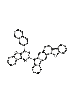 c1ccc2cc(-c3nc(-n4c5ccccc5c5cc6c(ccc7c8ccccc8oc67)cc54)nc4c3oc3ccccc34)ccc2c1